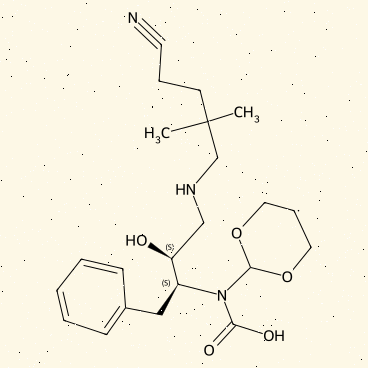 CC(C)(CCC#N)CNC[C@H](O)[C@H](Cc1ccccc1)N(C(=O)O)C1OC[CH]CO1